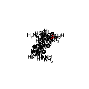 C[C@@H](O)[C@H](NC(=O)[C@H](Cc1ccccc1)NC(=O)[C@@H](NC(=O)[C@H](CCCCN)NC(=O)[C@@H](Cc1c[nH]c2ccccc12)NC(=O)[C@H](Cc1ccccc1)NC(=O)[C@H](Cc1ccccc1)NC(=O)[C@H](Cc1c[nH]cn1)NC(=O)[C@H](CCCNC(=N)N)NC(=O)CCS)[C@@H](C)O)C(=O)N[C@@H](CO)C(=O)N[C@@H](CS)C(=O)O